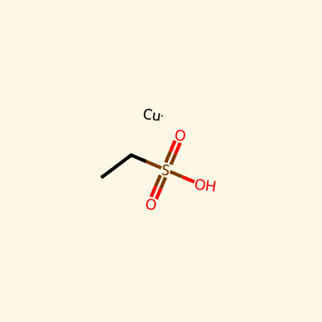 CCS(=O)(=O)O.[Cu]